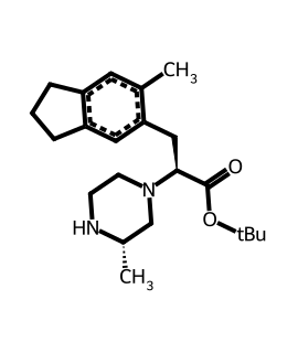 Cc1cc2c(cc1C[C@@H](C(=O)OC(C)(C)C)N1CCN[C@@H](C)C1)CCC2